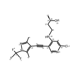 Cc1nn(C(F)(F)F)c(C)c1C#Cc1cnc(Cl)cc1NCC[C@@H](C)O